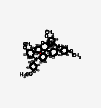 COc1ccc(NC2(c3ccc(OC)cc3)C=CC3=C(C2)C2(c4ccccc4Oc4ccccc42)c2cc(N(c4ccc(OC)cc4)c4ccc(OC)cc4)ccc23)cc1